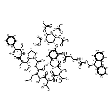 CC[C@H](C)[C@@H]([C@@H](CC(=O)N1CCC[C@H]1[C@H](OC)[C@@H](C)C(=O)N[C@H](C)[C@@H](O)c1ccccc1)OC)N(C)C(=O)C(NC(=O)[C@H](C(C)C)N(C)C(=O)OCc1ccc(O[C@@H]2C[C@H](C(=O)OC)[C@@H](OC(C)=O)[C@H](OC(C)=O)[C@H]2OC(C)=O)c(NC(=O)CCNC(=O)OCC2c3ccccc3-c3ccccc32)c1)C(C)C